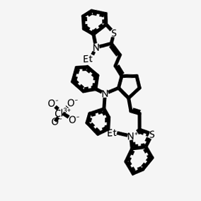 CCN1C(=CC=C2CCC(C=Cc3sc4ccccc4[n+]3CC)C2N(c2ccccc2)c2ccccc2)Sc2ccccc21.[O-][Cl+3]([O-])([O-])[O-]